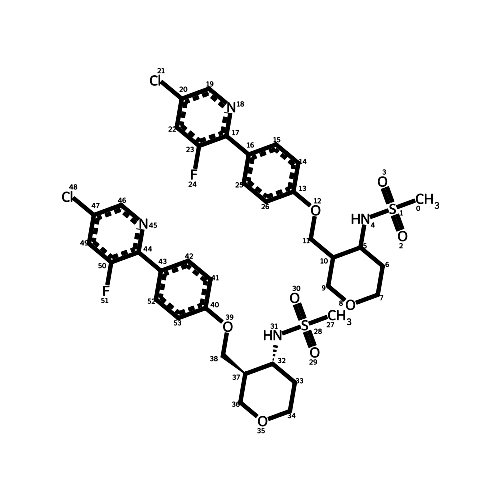 CS(=O)(=O)NC1CCOCC1COc1ccc(-c2ncc(Cl)cc2F)cc1.CS(=O)(=O)N[C@@H]1CCOC[C@H]1COc1ccc(-c2ncc(Cl)cc2F)cc1